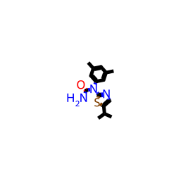 Cc1cc(C)cc(N(C(N)=O)c2ncc(C(C)C)s2)c1